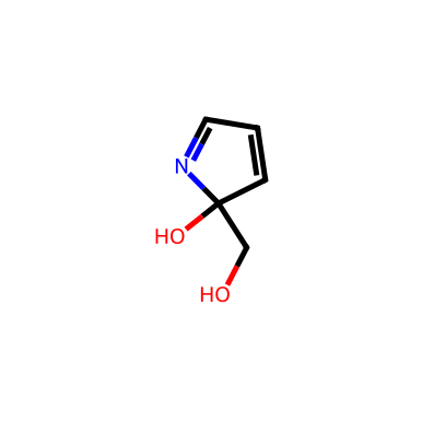 OCC1(O)C=CC=N1